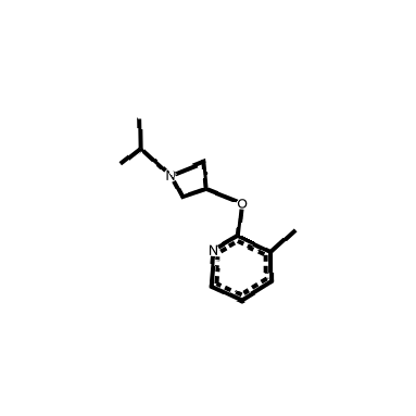 Cc1cccnc1OC1CN(C(C)C)C1